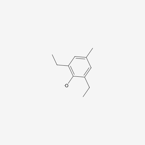 CCc1cc(C)cc(CC)c1[O]